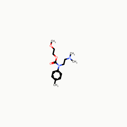 COCCOC(=O)N(CCN(C)C)c1ccc(C)cc1